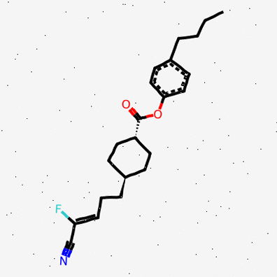 CCCCc1ccc(OC(=O)[C@H]2CC[C@H](CCC=C(F)C#N)CC2)cc1